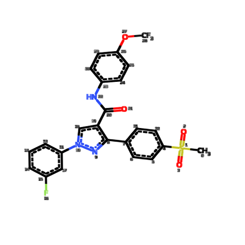 CS(=O)(=O)c1ccc(-c2nn(-c3cccc(F)c3)cc2C(=O)Nc2ccc(OC(F)(F)F)cc2)cc1